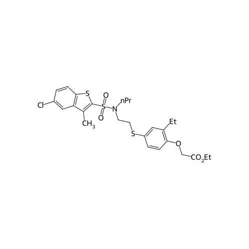 CCCN(CCSc1ccc(OCC(=O)OCC)c(CC)c1)S(=O)(=O)c1sc2ccc(Cl)cc2c1C